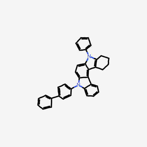 c1ccc(-c2ccc(-n3c4ccccc4c4c5c6c(n(-c7ccccc7)c5ccc43)CCCC6)cc2)cc1